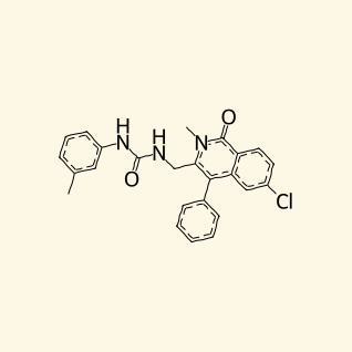 Cc1cccc(NC(=O)NCc2c(-c3ccccc3)c3cc(Cl)ccc3c(=O)n2C)c1